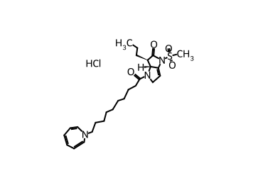 CCC[C@H]1C(=O)N(S(C)(=O)=O)C2=CCN(C(=O)CCCCCCCCCN3C=CC=CC=C3)[C@@H]21.Cl